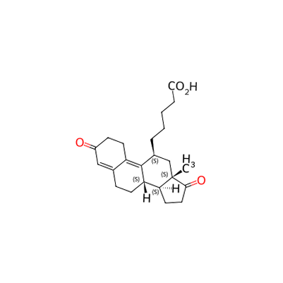 C[C@]12C[C@H](CCCCC(=O)O)C3=C4CCC(=O)C=C4CC[C@H]3[C@@H]1CCC2=O